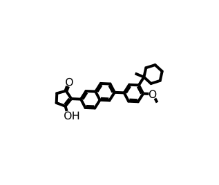 COc1ccc(-c2ccc3cc(C4=C(O)CCC4=O)ccc3c2)cc1C1(C)CCCCC1